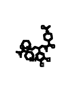 CC(=O)N1CCC(C(=O)N(C)CC(CC[N+]2(C3(C(=O)N(C)C)CCNCC3)CCCCC2)c2ccc(Cl)c(Cl)c2)CC1